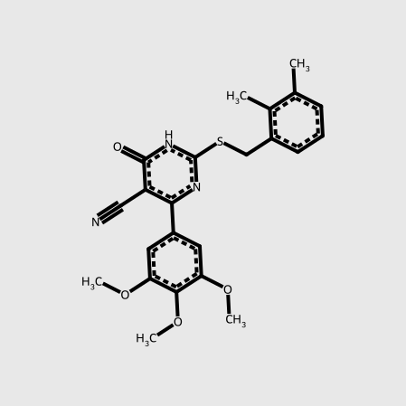 COc1cc(-c2nc(SCc3cccc(C)c3C)[nH]c(=O)c2C#N)cc(OC)c1OC